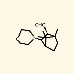 CC1(C)C2CCC1(C)[C@H](C=O)C2N1CCOCC1